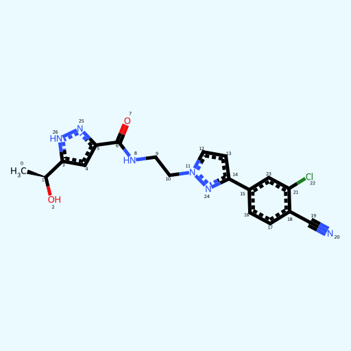 C[C@H](O)c1cc(C(=O)NCCn2ccc(-c3ccc(C#N)c(Cl)c3)n2)n[nH]1